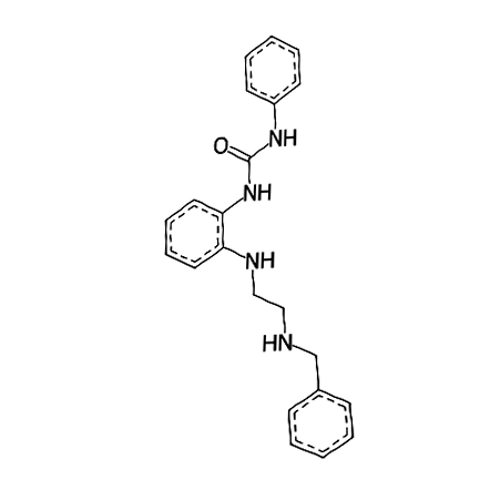 O=C(Nc1ccccc1)Nc1ccccc1NCCNCc1ccccc1